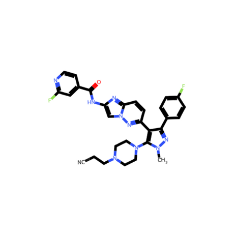 Cn1nc(-c2ccc(F)cc2)c(-c2ccc3nc(NC(=O)c4ccnc(F)c4)cn3n2)c1N1CCN(CCC#N)CC1